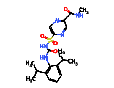 CNC(=O)c1cnc(S(=O)(=O)NC(=O)Nc2c(C(C)C)cccc2C(C)C)cn1